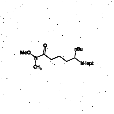 CCCCCCCC(CCCC)CCCC(=O)N(C)OC